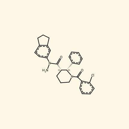 NN(C(=O)[C@H]1CCCN(C(=O)c2ccccc2Cl)[C@H]1c1ccccc1)c1ccc2c(c1)CCC2